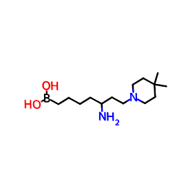 CC1(C)CCN(CCC(N)CCCCB(O)O)CC1